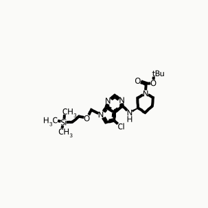 CC(C)(C)OC(=O)N1CCC[C@@H](Nc2ncnc3c2c(Cl)cn3COCC[Si](C)(C)C)C1